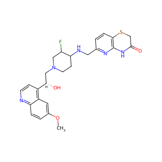 COc1ccc2nccc([C@@H](O)CN3CCC(NCc4ccc5c(n4)NC(=O)CS5)C(F)C3)c2c1